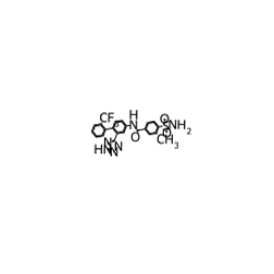 Cc1cc(C(=O)Nc2ccc(-c3ccccc3C(F)(F)F)c(-c3nn[nH]n3)c2)ccc1S(N)(=O)=O